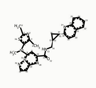 Cc1nc(C)c(N(C)c2cc(C(=O)NC[C@H]3C[C@@H]3c3ccc4ccccc4n3)nc3ccnn23)s1